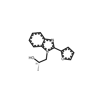 C[C@H](O)Cn1c(-c2ccco2)nc2ccccc21